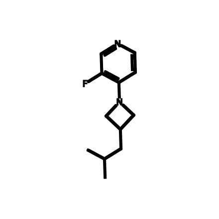 CC(C)CC1CN(c2ccncc2F)C1